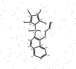 C=CCOc1c([Si](C)(C)C2C(C)=C(C)C(C)=C2C)ccc2ccccc12